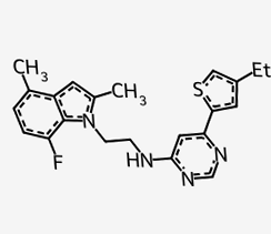 CCc1csc(-c2cc(NCCn3c(C)cc4c(C)ccc(F)c43)ncn2)c1